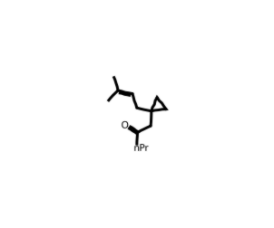 CCCC(=O)CC1(CC=C(C)C)CC1